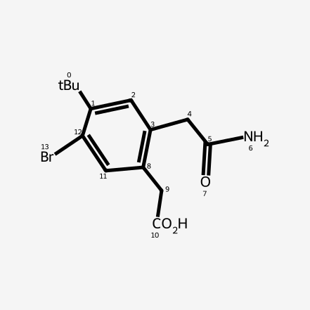 CC(C)(C)c1cc(CC(N)=O)c(CC(=O)O)cc1Br